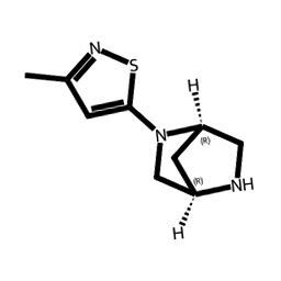 Cc1cc(N2C[C@H]3C[C@@H]2CN3)sn1